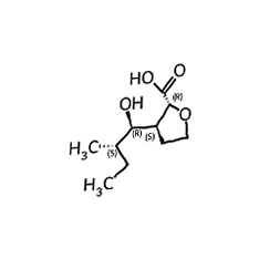 CC[C@H](C)[C@@H](O)[C@@H]1CCO[C@H]1C(=O)O